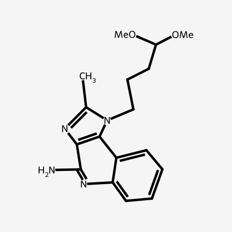 COC(CCCn1c(C)nc2c(N)nc3ccccc3c21)OC